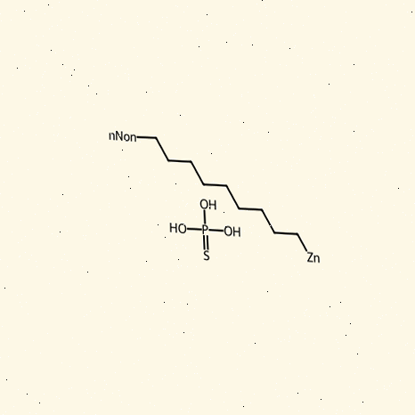 CCCCCCCCCCCCCCCCC[CH2][Zn].OP(O)(O)=S